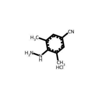 Cc1cc(C#N)cc(C)c1NN.Cl